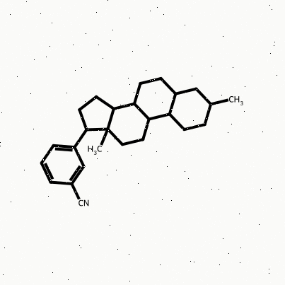 CC1CCC2C(CCC3C2CCC2(C)C(c4cccc(C#N)c4)CCC32)C1